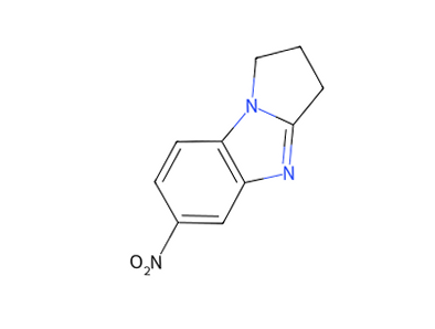 O=[N+]([O-])c1ccc2c(c1)nc1n2CCC1